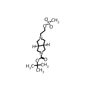 CC(C)(C)OC(=O)N1C[C@H]2CN(CCOS(C)(=O)=O)C[C@H]2C1